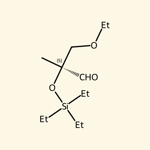 CCOC[C@@](C)(C=O)O[Si](CC)(CC)CC